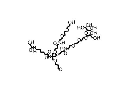 C#CC(=O)NCCCCCC(=O)NC(COCCC=O)(COCCC(=O)NCCOCCOCCO)COCCC(=O)NCCOCCOCCO[C@@H](OC(CO)[C@H](C)O)[C@H](O)CO